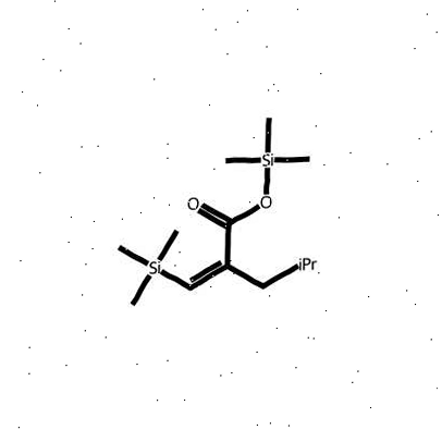 CC(C)CC(=C[Si](C)(C)C)C(=O)O[Si](C)(C)C